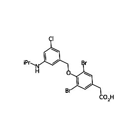 CC(C)Nc1cc(Cl)cc(COc2c(Br)cc(CC(=O)O)cc2Br)c1